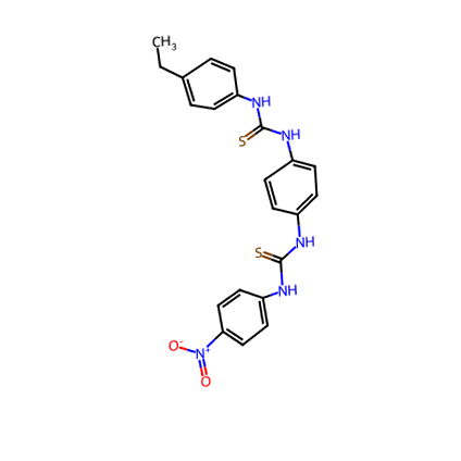 CCc1ccc(NC(=S)Nc2ccc(NC(=S)Nc3ccc([N+](=O)[O-])cc3)cc2)cc1